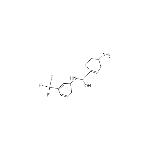 NC1CC=C([C@H](O)NC2C=C(C(F)(F)F)C=CC2)CC1